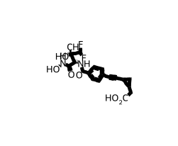 C[C@@](O)(C(F)F)[C@H](NC(=O)c1ccc(C#CC2CC2CC(=O)O)cc1)C(=O)NO